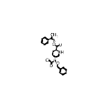 C/C(=N/OC(=O)[C@@H]1CC[C@@H](N(OCc2ccccc2)C(=O)Cl)CN1)c1ccccc1